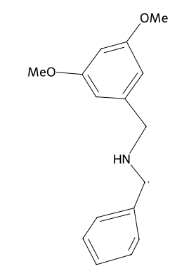 COc1cc(CN[CH]c2ccccc2)cc(OC)c1